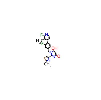 Cc1nc(-c2nc(=O)cc(O)n2Cc2ccc(-c3ccnc(F)c3C)c(F)c2)cs1